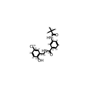 CC(C)(C)C(=O)Nc1cccc(C(=O)NCc2cc(Cl)ccc2O)c1